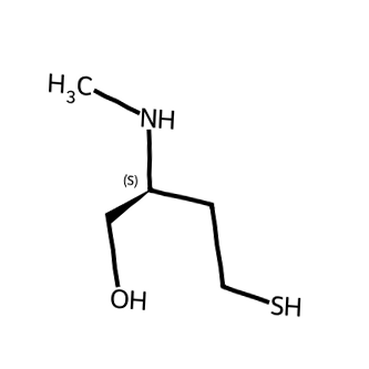 CN[C@H](CO)CCS